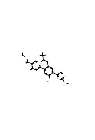 CCOC(=O)c1cn2c(cc1=O)-c1cc(OC)c(-c3cnc(N(C)C)s3)cc1CC2C(C)(C)C